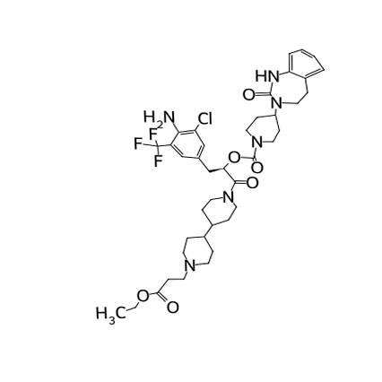 CCOC(=O)CCN1CCC(C2CCN(C(=O)[C@@H](Cc3cc(Cl)c(N)c(C(F)(F)F)c3)OC(=O)N3CCC(N4CCc5ccccc5NC4=O)CC3)CC2)CC1